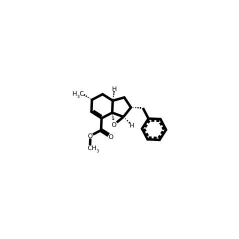 COC(=O)C1=C[C@H](C)C[C@H]2C[C@H](Cc3ccccc3)[C@H]3O[C@]123